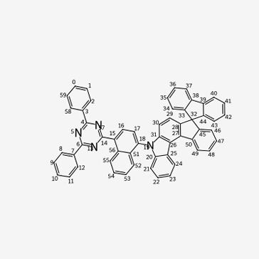 c1ccc(-c2nc(-c3ccccc3)nc(-c3ccc(-n4c5ccccc5c5c6c(ccc54)C4(c5ccccc5-c5ccccc54)c4ccccc4-6)c4ccccc34)n2)cc1